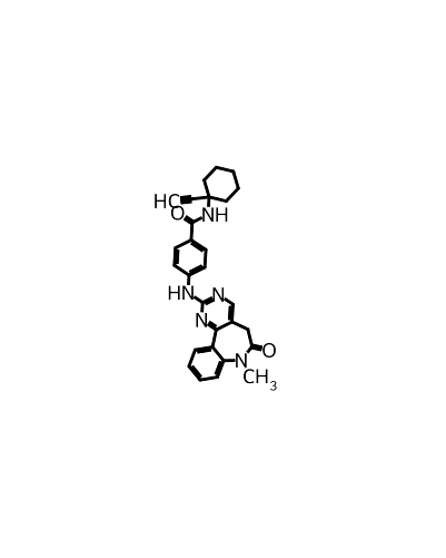 C#CC1(NC(=O)c2ccc(Nc3ncc4c(n3)-c3ccccc3N(C)C(=O)C4)cc2)CCCCC1